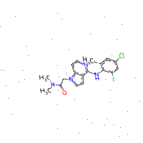 Cc1cc(Cl)cc(F)c1Nc1nccc2c1ccn2CC(=O)N(C)C